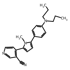 CCCN(CCC)c1ccc(-c2ccc(-c3ccncc3C#N)n2C)cc1